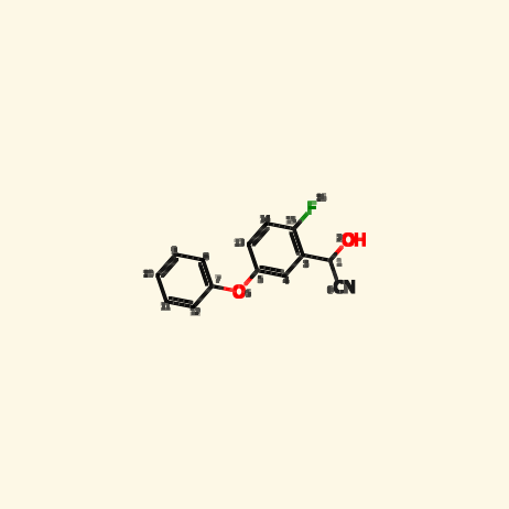 N#CC(O)c1cc(Oc2ccccc2)ccc1F